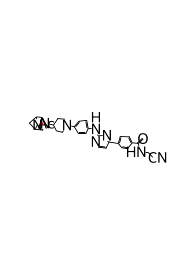 CC(=O)N1C2CC1CN(C1CCN(c3ccc(Nc4nccc(-c5ccc(C(=O)NCC#N)cc5)n4)cc3)CC1)C2